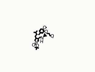 COCCCOc1cc(C[C@@H](CC2CN(C(=O)OC(C)(C)C)CC2CNC2CC2)C(C)C)ccc1OC